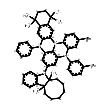 CC(C)(C)c1cccc(N2c3cc(C(C)(C)C)ccc3B3c4cc5c(cc4N(c4ccccc4)c4cc(N6c7ccccc7C7(C)CCCCCCC67C)cc2c43)C(C)(C)CCC5(C)C)c1